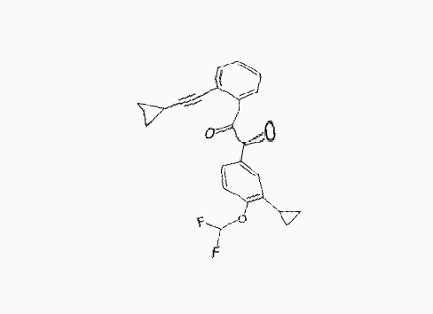 O=C(C(=O)c1ccccc1C#CC1CC1)c1ccc(OC(F)F)c(C2CC2)c1